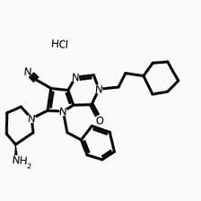 Cl.N#Cc1c(N2CCC[C@H](N)C2)n(Cc2ccccc2)c2c(=O)n(CCC3CCCCC3)cnc12